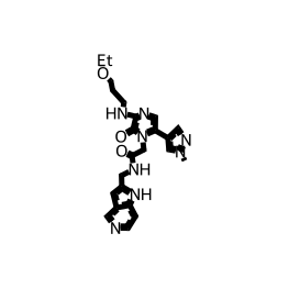 CCOCCCNc1ncc(-c2cnn(C)c2)n(CC(=O)NCc2cc3cnccc3[nH]2)c1=O